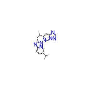 CC(C)c1ccc2nc(CC(C)c3cc4ncnn4cn3)nn2c1